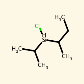 CCC(C)[SiH](Cl)C(C)C